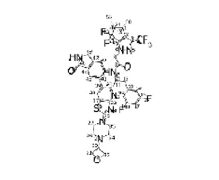 C[C@@H]1c2c(C(F)(F)F)nn(CC(=O)N[C@@H](Cc3cc(F)cc(F)c3)c3nc4nc(N5CCN(C6COC6)CC5)sc4cc3-c3ccc4c(c3)C(=O)NC4)c2C(F)(F)[C@@H]1C